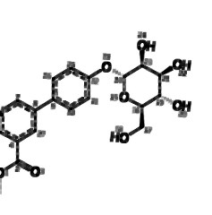 COC(=O)c1cncc(-c2ccc(O[C@H]3O[C@H](CO)[C@@H](O)[C@H](O)[C@@H]3O)cc2)c1